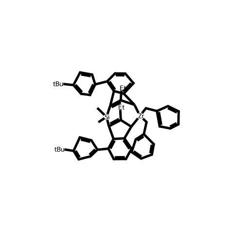 CCC1=C2c3c(-c4ccc(C(C)(C)C)cc4)cccc3[CH]1[Zr]([CH2]c1ccccc1)([CH2]c1ccccc1)[CH]1C(CC)=C(c3c(-c4ccc(C(C)(C)C)cc4)cccc31)[Si]2(C)C